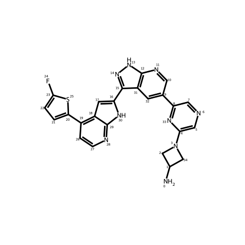 NC1CN(c2cncc(-c3cnc4[nH]nc(-c5cc6c(-c7ccc(F)s7)ccnc6[nH]5)c4c3)n2)C1